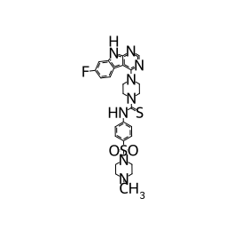 CN1CCN(S(=O)(=O)c2ccc(NC(=S)N3CCN(c4ncnc5[nH]c6cc(F)ccc6c45)CC3)cc2)CC1